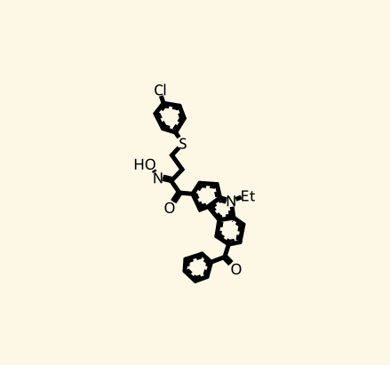 CCn1c2ccc(C(=O)/C(CCSc3ccc(Cl)cc3)=N/O)cc2c2cc(C(=O)c3ccccc3)ccc21